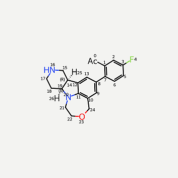 CC(=O)c1cc(F)ccc1-c1cc2c3c(c1)[C@@H]1CNCC[C@@H]1N3CCOC2